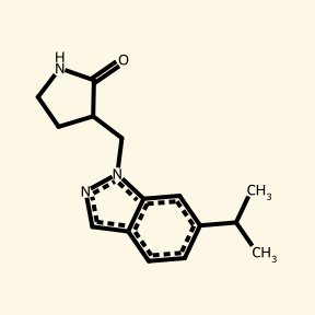 CC(C)c1ccc2cnn(CC3CCNC3=O)c2c1